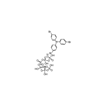 Brc1ccc(N(c2ccc(Br)cc2)c2ccc(Br)cc2)cc1.O=P(O)(O)OP(=O)(O)OP(=O)(O)OP(=O)(O)OP(=O)(O)OP(=O)(O)O